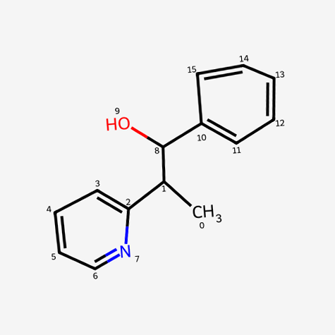 CC(c1ccccn1)C(O)c1ccccc1